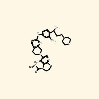 Cc1cc(Nc2ncc3c(n2)CN(c2cnc4c(c2C)N(C(=O)OC(C)(C)C)CCO4)CC3)ccc1N(C)CCN1CCOCC1